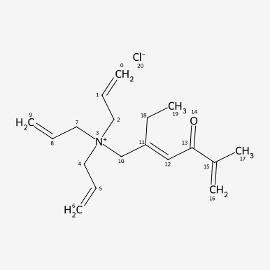 C=CC[N+](CC=C)(CC=C)CC(=CC(=O)C(=C)C)CC.[Cl-]